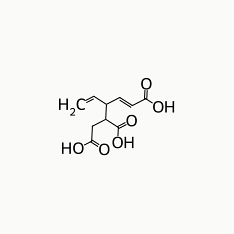 C=CC(/C=C/C(=O)O)C(CC(=O)O)C(=O)O